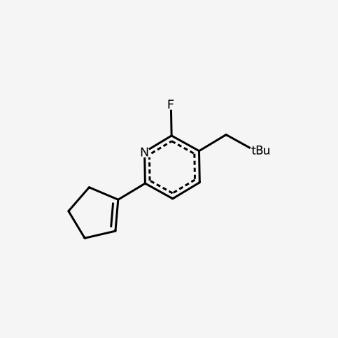 CC(C)(C)Cc1ccc(C2=CCCC2)nc1F